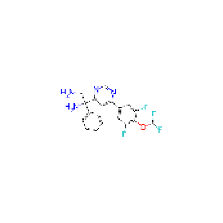 NCC(N)(c1ccccc1)c1cc(-c2cc(F)c(OC(F)F)c(F)c2)ncn1